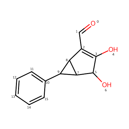 O=CC1=C(O)C(O)C2C1C2c1ccccc1